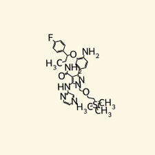 CCC(Oc1cc(-c2nn(COCC[Si](C)(C)C)c(Nc3cnccn3)c2C(N)=O)ccc1N)c1ccc(F)cc1